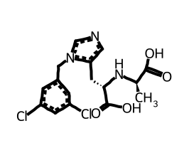 C[C@@H](N[C@@H](Cc1cncn1Cc1cc(Cl)cc(Cl)c1)C(=O)O)C(=O)O